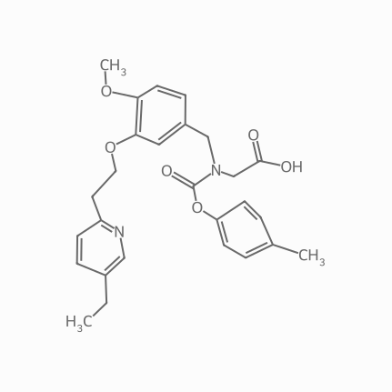 CCc1ccc(CCOc2cc(CN(CC(=O)O)C(=O)Oc3ccc(C)cc3)ccc2OC)nc1